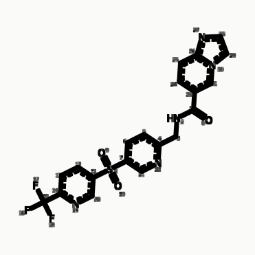 O=C(NCc1ccc(S(=O)(=O)c2ccc(C(F)(F)F)nc2)cn1)c1ccc2nccn2c1